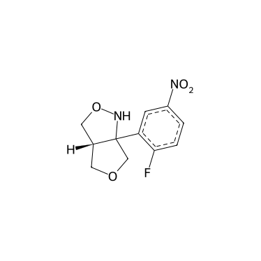 O=[N+]([O-])c1ccc(F)c(C23COC[C@@H]2CON3)c1